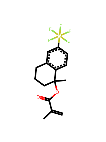 C=C(C)C(=O)OC1(C)CCCc2cc(S(F)(F)(F)(F)F)ccc21